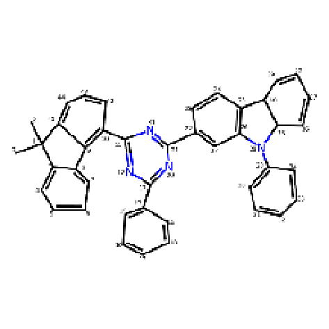 CC1(C)c2ccccc2-c2c(-c3nc(-c4ccccc4)nc(-c4ccc5c(c4)N(c4ccccc4)C4C=CC=CC54)n3)cccc21